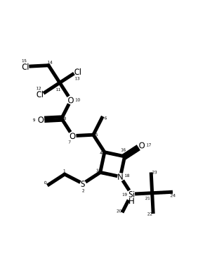 CCSC1C(C(C)OC(=O)OC(Cl)(Cl)CCl)C(=O)N1[SiH](C)C(C)(C)C